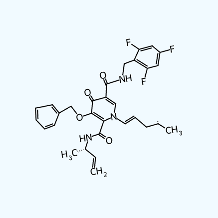 C=C[C@H](C)NC(=O)c1c(OCc2ccccc2)c(=O)c(C(=O)NCc2c(F)cc(F)cc2F)cn1C=CC[CH]C